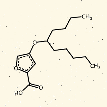 CCCCCC(CCCC)Oc1coc(C(=O)O)c1